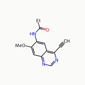 C#Cc1ncnc2cc(OC)c(NC(=O)CC)cc12